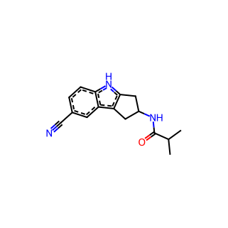 CC(C)C(=O)NC1Cc2[nH]c3ccc(C#N)cc3c2C1